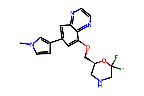 Cn1ccc(-c2cc(OC[C@@H]3CNCC(F)(F)O3)c3nccnc3c2)c1